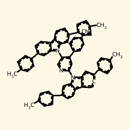 Cc1ccc(-c2ccc3c4ccc(-c5ccc(C)cc5)cc4n(-c4cc(-c5ccc(C#N)cc5)c(-n5c6cc(-c7ccc(C)cc7)ccc6c6ccc(-c7ccc(C)cc7)cc65)cn4)c3c2)cc1